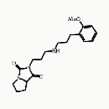 COc1ccccc1CCCNCCCN1C(=O)C2CCCN2C1=O